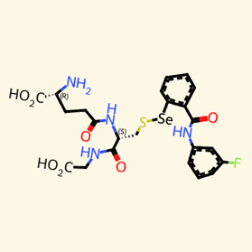 N[C@H](CCC(=O)N[C@H](CS[Se]c1ccccc1C(=O)Nc1cccc(F)c1)C(=O)NCC(=O)O)C(=O)O